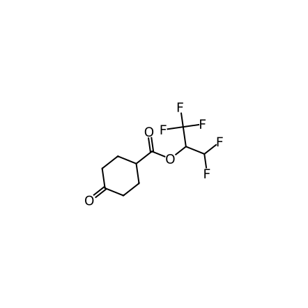 O=C1CCC(C(=O)OC(C(F)F)C(F)(F)F)CC1